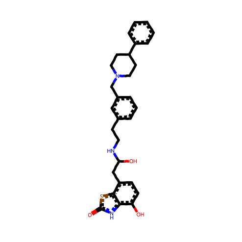 O=c1[nH]c2c(O)ccc(CC(O)NCCc3cccc(CN4CCC(c5ccccc5)CC4)c3)c2s1